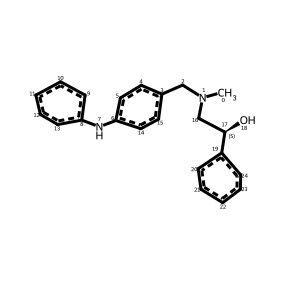 CN(Cc1ccc(Nc2ccccc2)cc1)C[C@@H](O)c1ccccc1